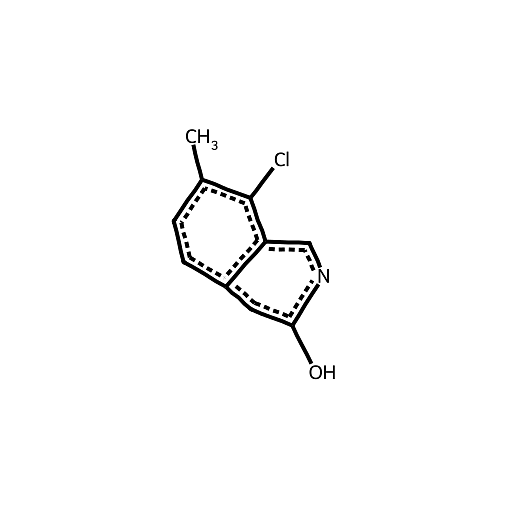 Cc1ccc2cc(O)ncc2c1Cl